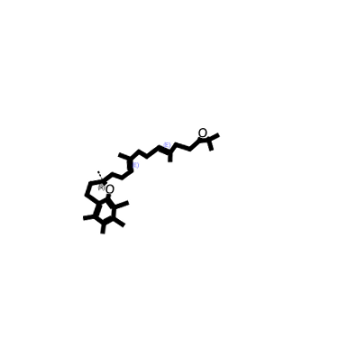 C/C(=C\CC[C@]1(C)CCc2c(C)c(C)c(C)c(C)c2O1)CC/C=C(\C)CCC1OC1(C)C